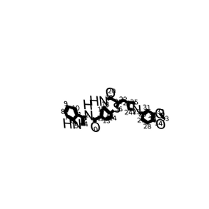 O=C(Nc1c[nH]c2ccccc12)c1ccc2c(c1)NC(=O)C(CC1CN(c3ccc4c(c3)OCO4)C1)S2